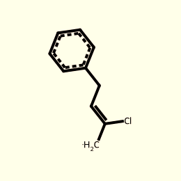 [CH2]C(Cl)=CCc1ccccc1